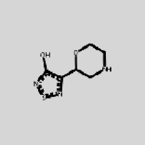 Oc1nsnc1C1CNCCO1